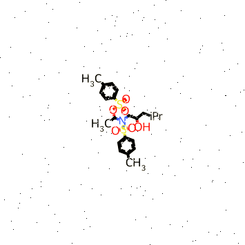 Cc1ccc(S(=O)(=O)OC(C)N(CC(O)CC(C)C)S(=O)(=O)c2ccc(C)cc2)cc1